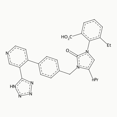 CCCc1cn(-c2c(CC)cccc2C(=O)O)c(=O)n1Cc1ccc(-c2ccncc2-c2nnn[nH]2)cc1